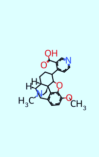 COc1ccc2c3c1OC1C(c4ccncc4C(=O)O)CC[C@H]4[C@@H](C2)N(C)CC[C@]314